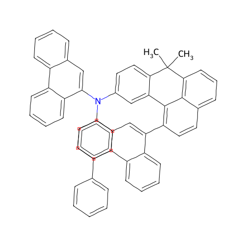 CC1(C)c2ccc(N(c3ccc(-c4ccccc4)cc3)c3cc4ccccc4c4ccccc34)cc2-c2c(-c3cc4ccccc4c4ccccc34)ccc3cccc1c23